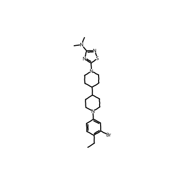 CCc1ccc(N2CCC(C3CCN(c4nc(N(C)C)ns4)CC3)CC2)cc1Br